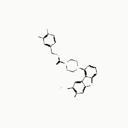 COc1cc2[nH]c3cccc(N4CCN(C(=S)NCc5ccc(O)c(O)c5)CC4)c3c2cc1OC